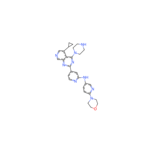 c1cc(-c2nc(N3CCNCC3)c3c(C4CC4)cncc3n2)cc(Nc2ccc(N3CCOCC3)nc2)n1